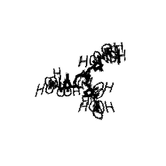 Cc1cc(CN2CCCN(Cc3cc(C)cc(C(=O)NCP(=O)(O)O)c3O)CCN(Cc3cc(C)cc(C(=O)NCP(=O)(O)O)c3O)CC2)c(O)c(C(=O)NCP(=O)(O)O)c1